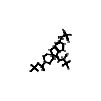 CC(C)(C)OC(=O)N1CCC2(CC1)Cc1cc(NS(C)(=O)=O)ccc1/C2=N\[S@+]([O-])C(C)(C)C